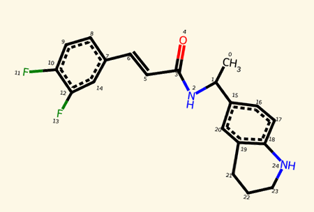 CC(NC(=O)C=Cc1ccc(F)c(F)c1)c1ccc2c(c1)CCCN2